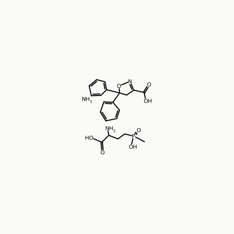 CP(=O)(O)CCC(N)C(=O)O.N.O=C(O)C1=NOC(c2ccccc2)(c2ccccc2)C1